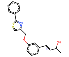 CC(O)/C=C/c1cccc(OCc2csc(-c3ccccc3)n2)c1